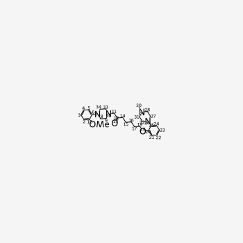 COc1ccccc1N1CCN(CC(=O)CCCCCOc2ccccc2N2CCN(C)CC2)CC1